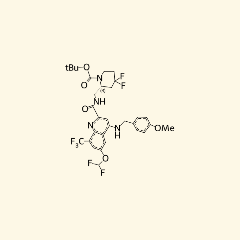 COc1ccc(CNc2cc(C(=O)NC[C@H]3CC(F)(F)CCN3C(=O)OC(C)(C)C)nc3c(C(F)(F)F)cc(OC(F)F)cc23)cc1